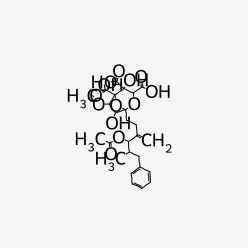 C=C(CCC12OC(C(=O)O)C(O)(C(=O)O)C(C(=O)O)(O1)C(OC)C2O)C(OC(C)=O)C(C)Cc1ccccc1